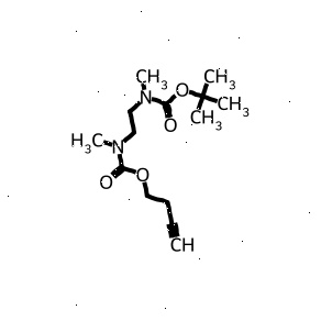 C#CCCOC(=O)N(C)CCN(C)C(=O)OC(C)(C)C